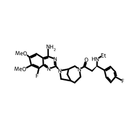 CCN[C@H](CC(=O)N1CCC2CC(C1)N(c1nc(N)c3cc(OC)c(OC)c(F)c3n1)C2)c1ccc(F)cc1